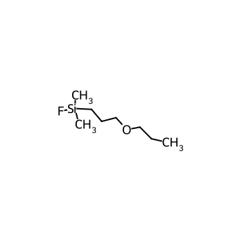 CCCOCCC[Si](C)(C)F